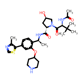 CC(=O)N[C@H](C(=O)N1C[C@H](O)C[C@H]1C(=O)N[C@@H](C)c1ccc(-c2scnc2C)cc1OC1CCNCC1)C(C)(C)C